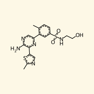 Cc1ncc(-c2nc(-c3cc(S(=O)(=O)NCCO)ccc3C)cnc2N)s1